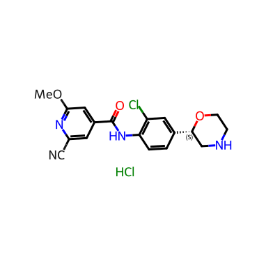 COc1cc(C(=O)Nc2ccc([C@H]3CNCCO3)cc2Cl)cc(C#N)n1.Cl